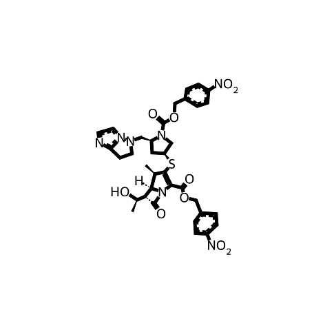 C[C@@H](O)[C@H]1C(=O)N2C(C(=O)OCc3ccc([N+](=O)[O-])cc3)=C(S[C@H]3C[C@@H](CN4CCc5nccn54)N(C(=O)OCc4ccc([N+](=O)[O-])cc4)C3)[C@H](C)[C@H]12